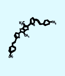 Cc1ccc(C=Cc2ccc(-c3sc4c(C)c(-c5ccc(C=Cc6ccc(C)cc6)s5)sc4c3C)s2)cc1